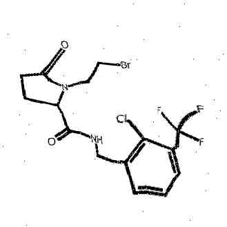 O=C(NCc1cccc(C(F)(F)F)c1Cl)C1CCC(=O)N1CCBr